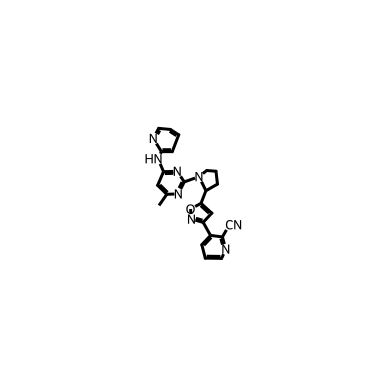 Cc1cc(Nc2ccccn2)nc(N2CCCC2c2cc(-c3cccnc3C#N)no2)n1